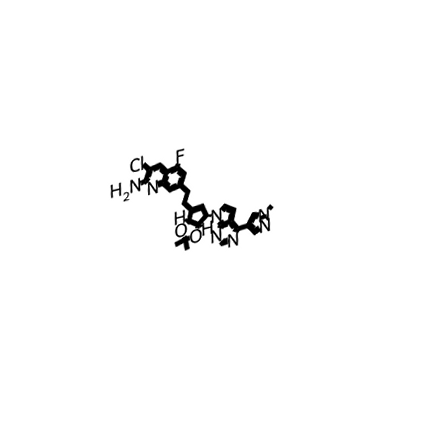 Cn1cc(-c2ncnc3c2ccn3[C@@H]2C=C(CCc3cc(F)c4cc(Cl)c(N)nc4c3)[C@H]3OC(C)(C)O[C@H]32)cn1